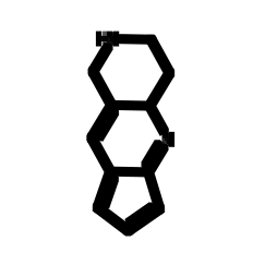 C1=CC2=NC3CCNCC3=CC2=C1